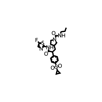 CCCNC(=O)N1CCC(CC(C(=O)Nc2ncc(F)s2)c2ccc(S(=O)(=O)C3CC3)cc2)C1